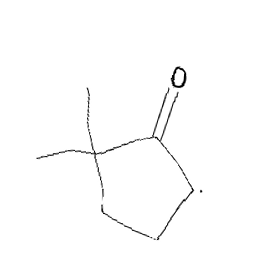 CC1(C)CC[CH]C1=O